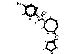 CC(C)(C)c1ccc(S(=O)(=O)N2CCCC(OC3CCCC3)CC2)cc1